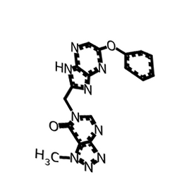 Cn1nnc2ncn(Cc3nc4nc(Oc5ccccc5)cnc4[nH]3)c(=O)c21